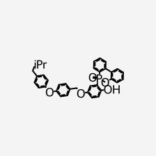 CC(C)Cc1ccc(Oc2ccc(COc3ccc(O)c(P4(=O)Oc5ccccc5-c5ccccc54)c3)cc2)cc1